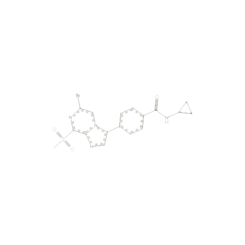 CS(=O)(=O)c1nc(Br)cn2c(-c3ccc(C(=O)NC4CC4)cc3)cnc12